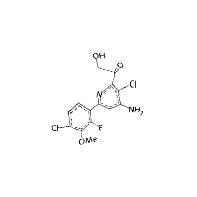 COc1c(Cl)ccc(-c2cc(N)c(Cl)c(C(=O)CO)n2)c1F